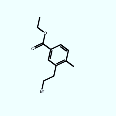 CCOC(=O)c1ccc(C)c(CCBr)c1